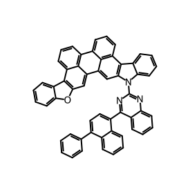 c1ccc(-c2ccc(-c3nc(-n4c5ccccc5c5c6cccc7c8cccc9c%10c(cc(c(cc54)c76)c89)oc4ccccc4%10)nc4ccccc34)c3ccccc23)cc1